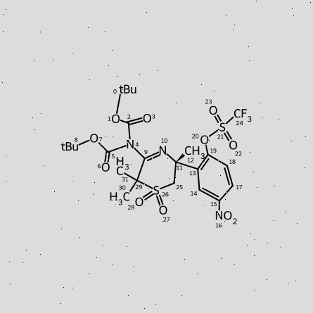 CC(C)(C)OC(=O)N(C(=O)OC(C)(C)C)C1=N[C@](C)(c2cc([N+](=O)[O-])ccc2OS(=O)(=O)C(F)(F)F)CS(=O)(=O)C1(C)C